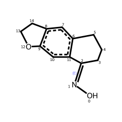 O/N=C1\CCCc2cc3c(cc21)OCC3